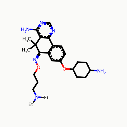 CCN(CC)CCCO/N=C1\c2cc(OC3CCC(N)CC3)ccc2-c2ncnc(N)c2C1(C)C